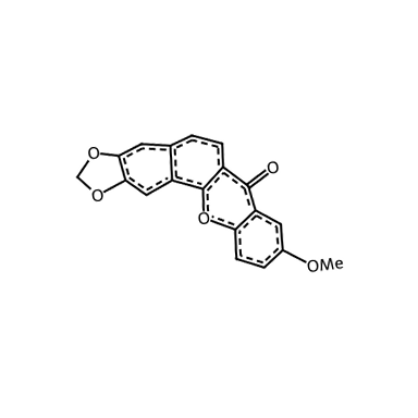 COc1ccc2oc3c(ccc4cc5c(cc43)OCO5)c(=O)c2c1